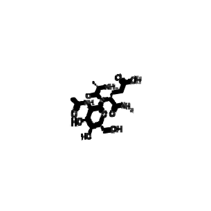 CC(=O)N[C@H]1C(N(C(=O)[C@H](C)N)[C@H](CCC(=O)O)C(N)=O)O[C@H](CO)[C@@H](O)[C@@H]1O